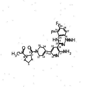 CC(=O)N1CCC[C@@H]1C(=O)N1CC=C(c2cnc(N)c(/C(=N/N=N)Nc3cccc(F)c3F)c2)CC1